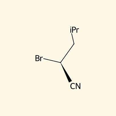 CC(C)C[C@H](Br)C#N